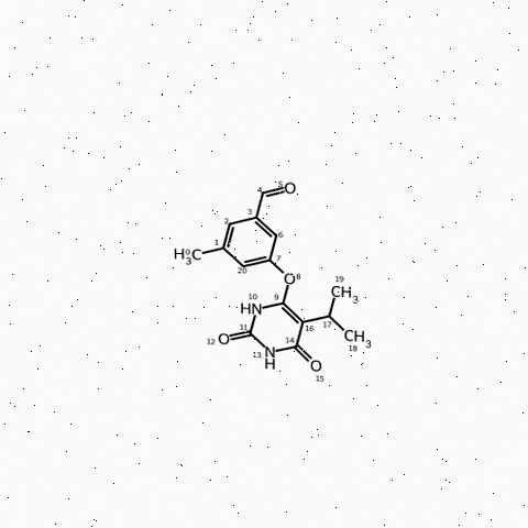 Cc1cc(C=O)cc(Oc2[nH]c(=O)[nH]c(=O)c2C(C)C)c1